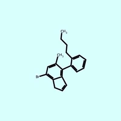 CCCCc1ccccc1-c1c(C)cc(Br)c2c1C=CC2